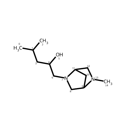 CC(C)CC(O)CN1CC2CC1CN2C